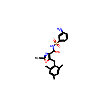 Cc1cc(C)c(Cc2oc(C(C)(C)C)nc2C(O)NS(=O)(=O)c2cccc(N)c2)c(C)c1